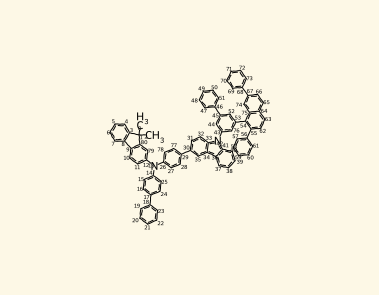 CC1(C)c2ccccc2-c2ccc(N(c3ccc(-c4ccccc4)cc3)c3ccc(-c4ccc5c(c4)c4ccccc4n5-c4cc(-c5ccccc5)cc(-c5c(-c6ccccc6)ccc6ccc(-c7ccccc7)cc56)c4)cc3)cc21